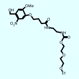 CCOCCOCCOC(=O)NCCNC(=O)CCCOc1cc([N+](=O)[O-])c(CO)cc1OC